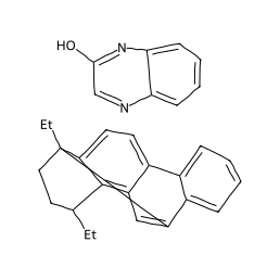 CCC1CCC2(CC)c3ccc4c(cc2c2ccccc24)c31.Oc1cnc2ccccc2n1